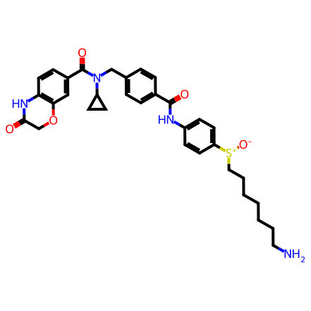 NCCCCCCC[S+]([O-])c1ccc(NC(=O)c2ccc(CN(C(=O)c3ccc4c(c3)OCC(=O)N4)C3CC3)cc2)cc1